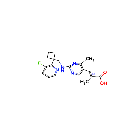 C/C(=C\c1cnc(NCC2(c3ncccc3F)CCC2)nc1C)C(=O)O